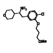 COCCCOc1cc(CC(N)C2CCOCC2)ccc1Cl